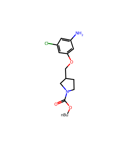 CCCCOC(=O)N1CCC(COc2cc(N)cc(Cl)c2)C1